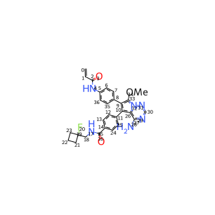 C=CC(=O)Nc1ccc(-c2c(-c3ccc(C(=O)NCC4(F)CCC4)cc3)c3c(N)ncnn3c2OC)cc1